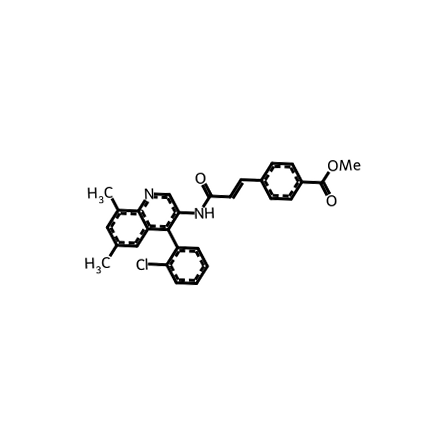 COC(=O)c1ccc(C=CC(=O)Nc2cnc3c(C)cc(C)cc3c2-c2ccccc2Cl)cc1